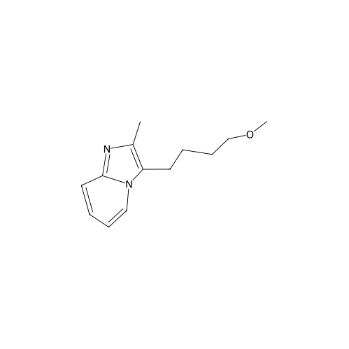 COCCCCc1c(C)nc2ccccn12